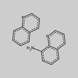 Nc1cccc2cccnc12.c1ccc2ncccc2c1